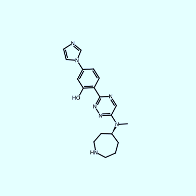 CN(c1cnc(-c2ccc(-n3ccnc3)cc2O)nn1)[C@H]1CCCNCC1